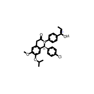 C/C=C(/O)c1ccc(N2C(=O)Cc3cc(OC)c(OC(C)C)cc3[C@@H]2c2ccc(Cl)cc2)cc1